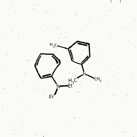 CCN(CC)c1ccccc1.Cc1cccc(N(C)C)c1